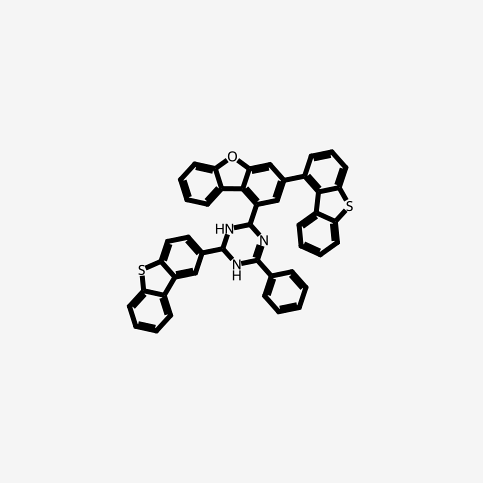 c1ccc(C2=NC(c3cc(-c4cccc5sc6ccccc6c45)cc4oc5ccccc5c34)NC(c3ccc4sc5ccccc5c4c3)N2)cc1